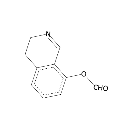 O=COc1cccc2c1C=NCC2